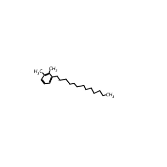 CCCCCCCCCCC[CH]Cc1cccc(C)c1C